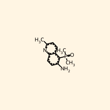 Cc1ccc2c(P(C)(C)=O)c(N)ccc2n1